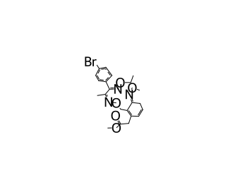 CCON=C(C(C)=NOCC1=C(CC(=O)OC)C=CCC1=NOC)c1ccc(Br)cc1